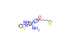 NCc1cc(N=C(N)C2=CC=CCC2=S)ccc1N1CCN(C(=O)CCCCC2CCSS2)CC1